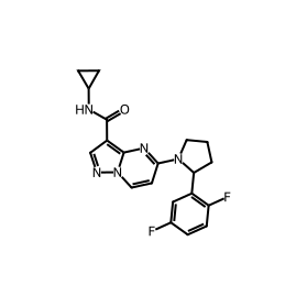 O=C(NC1CC1)c1cnn2ccc(N3CCCC3c3cc(F)ccc3F)nc12